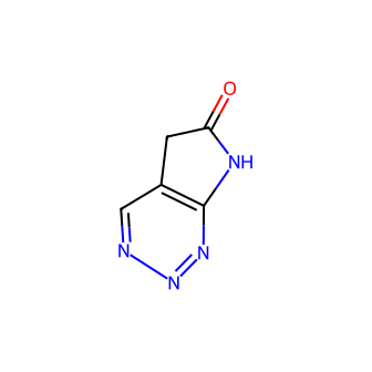 O=C1Cc2cnnnc2N1